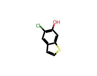 Oc1cc2sccc2cc1Cl